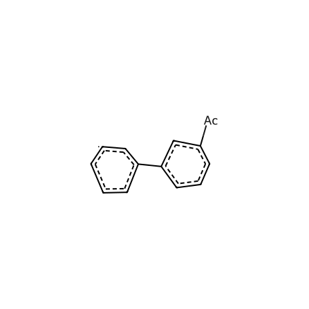 CC(=O)c1cccc(-c2c[c]ccc2)c1